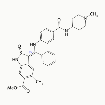 COC(=O)c1cc2c(cc1C)/C(=C(/Nc1ccc(C(=O)NC3CCN(C)CC3)cc1)c1ccccc1)C(=O)N2